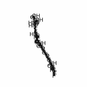 O=C(O)CC[C@H](NC(=O)NCCCCCNc1nc(-c2cccc(NC(=O)CCOCCOCCOCCOCCNC(=O)Cn3cc(CCCF)nn3)c2)cs1)C(=O)O